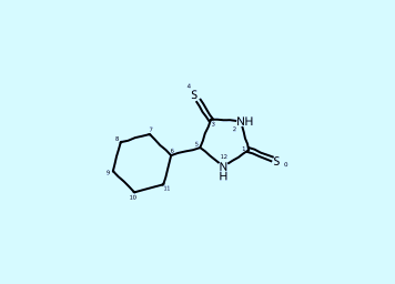 S=C1NC(=S)C(C2CCCCC2)N1